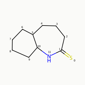 S=C1CCCC2CCCCC2N1